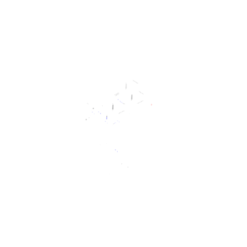 C#Cc1c(F)ccc2cc(O)cc(-c3nc4c5c(nc(OCC6(CN7CCC(OC)(C(F)(F)F)CC7)CC6)nc5c3F)N3C[C@H]5CC[C@H](N5)[C@H]3CC4)c12